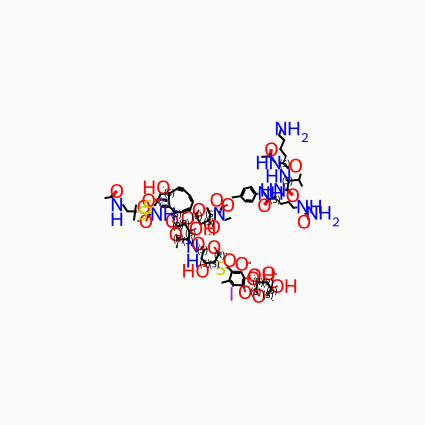 CCN(C(=O)OCc1ccc(NC(=O)[C@H](CCCNC(N)=O)NC(=O)[C@@H](NC(=O)[C@H](CCCCN)NC(C)=O)C(C)C)cc1)[C@H]1CO[C@@H](O[C@H]2[C@H](O[C@H]3C#CC=CC#C[C@]4(O)CC(=O)C(NC(=O)OC)=C3/C4=C\CSSC(C)(C)CCNC(C)=O)O[C@H](C)[C@@H](NO[C@H]3C[C@H](O)[C@H](SC(=O)c4c(C)c(I)c(O[C@@H]5O[C@@H](C)[C@H](O)[C@@H](OC)[C@H]5O)c(OC)c4OC)[C@@H](C)O3)[C@@H]2O)C[C@@H]1OC